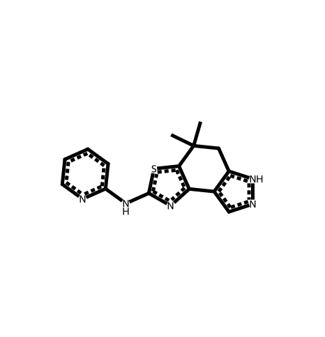 CC1(C)Cc2[nH]ncc2-c2nc(Nc3ccccn3)sc21